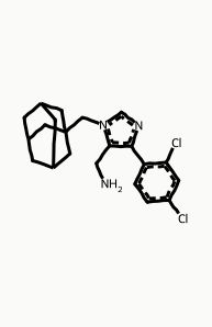 NCc1c(-c2ccc(Cl)cc2Cl)ncn1CC12CC3CC(CC(C3)C1)C2